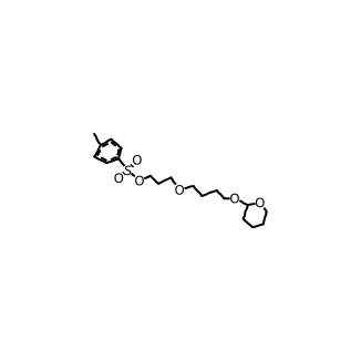 Cc1ccc(S(=O)(=O)OCCCOCCCCOC2CCCCO2)cc1